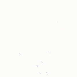 CN(C)CCn1nnc(-c2ccccc2Nc2ccc(OC(F)(F)P)cc2)n1